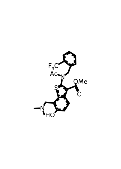 COC(=O)c1c(N(Cc2ccccc2C(F)(F)F)C(C)=O)sc2c(CN(C)C)c(O)ccc12